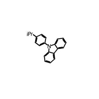 CC(C)c1ccc(-n2c3ccccc3c3ccccc32)cc1